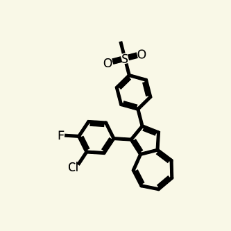 CS(=O)(=O)c1ccc(-c2cc3cccccc-3c2-c2ccc(F)c(Cl)c2)cc1